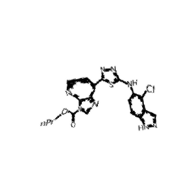 CCCOC(=O)n1cnc2c(-c3nnc(Nc4ccc5[nH]ncc5c4Cl)s3)ccnc21